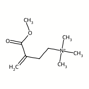 C=C(CC[N+](C)(C)C)C(=O)OC